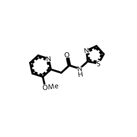 COc1cccnc1CC(=O)Nc1nccs1